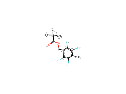 [CH2]c1c(F)c(F)c(COC(=O)C(C)(C)C)c(F)c1F